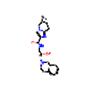 O=C(NC[C@H](O)CN1CCc2ccccc2C1)c1cn2c(n1)CCC(C(F)(F)F)C2